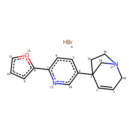 Br.C1=CC2(c3ccc(-c4ccco4)nc3)CCN(C1)C2